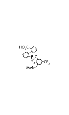 CNCc1cc(C(F)(F)F)cc(C(F)(F)F)c1.Cc1ccccc1-c1ccccc1C(=O)O